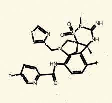 CN1C(=N)N[C@](C)(c2cc(NC(=O)c3ccc(F)cn3)ccc2F)[C@@]2(CCN(Cc3cscn3)C2)S1(=O)=O